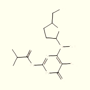 CC(C)C(=O)Nc1nc(N(N)C2CCC(CO)O2)c(N)c(=O)[nH]1